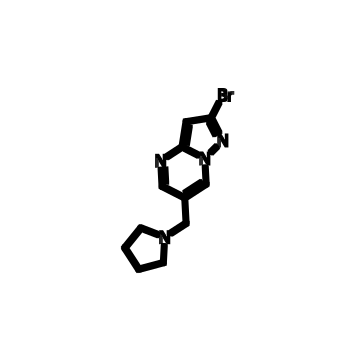 Brc1cc2ncc(CN3CCCC3)cn2n1